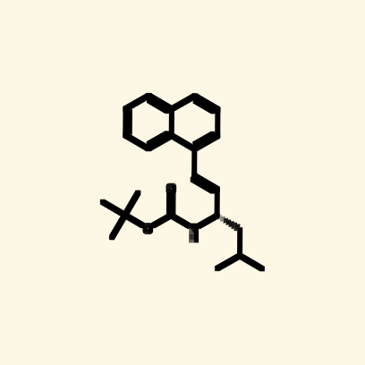 CC(C)C[C@@H](/C=C/c1cccc2ccccc12)NC(=O)OC(C)(C)C